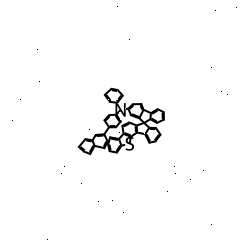 c1ccc(N(c2ccc(-c3ccc4ccccc4c3)cc2)c2ccc3c(c2)C2(c4ccccc4-3)c3ccccc3-c3c2ccc2c3sc3ccccc32)cc1